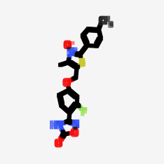 Cc1c(COc2ccc(-c3noc(=O)[nH]3)c(F)c2)sc(-c2ccc(C(F)(F)F)cc2)[n+]1[O-]